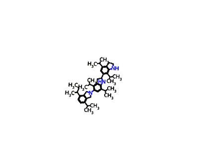 CCC(C)c1ccc(C(C)C)c2c1CN(c1cc(C(C)C)c3c(c1C(C)C)CC(c1cc(C(C)C)c4c(c1C(C)C)NCC4)N3)C2